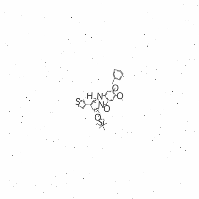 COc1cc(C(=O)N2CC=C(c3ccsc3)C[C@H]2CO[Si](C)(C)C(C)(C)C)c(N)cc1OCc1ccccc1